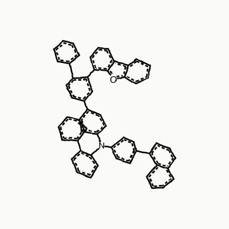 c1ccc(-c2ccc(-c3ccc(N(c4ccc(-c5cccc6ccccc56)cc4)c4ccccc4-c4ccccc4)cc3)cc2-c2cccc3c2oc2ccccc23)cc1